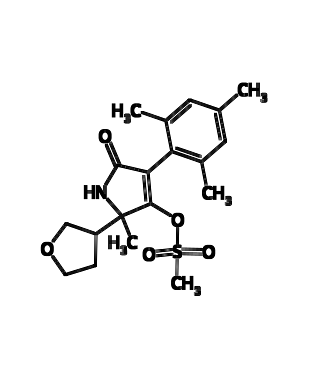 Cc1cc(C)c(C2=C(OS(C)(=O)=O)C(C)(C3CCOC3)NC2=O)c(C)c1